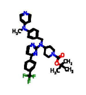 CN(c1ccncc1)c1ccc(CN(c2nccc(-c3ccc(C(F)(F)F)cc3)n2)C2CCN(C(=O)OC(C)(C)C)CC2)cc1